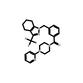 O=C(c1cccc(Cn2nc(C(F)(F)F)c3c2CCCC3)c1)N1CCN(c2ccccn2)CC1